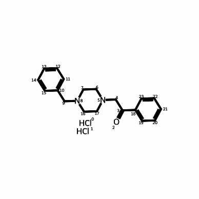 Cl.Cl.O=C(CN1CCN(Cc2ccccc2)CC1)c1ccccc1